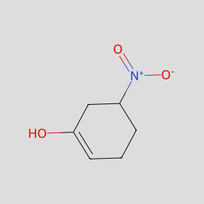 O=[N+]([O-])C1CCC=C(O)C1